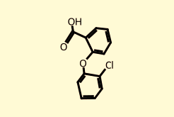 O=C(O)c1ccccc1Oc1ccccc1Cl